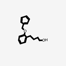 OCCCCc1ccccc1OCc1ccccc1